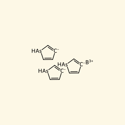 [B+3].[C-]1=C[AsH]C=C1.[C-]1=C[AsH]C=C1.[C-]1=C[AsH]C=C1